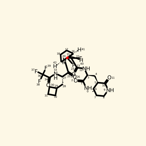 NC(=O)[C@H](C[C@@H]1CCCNC1=O)NC(=O)[C@H]1[C@@H]2CC[C@@H](CC2(F)F)N1C(=O)[C@H](CC1CCC1)NC(=O)C(F)(F)F